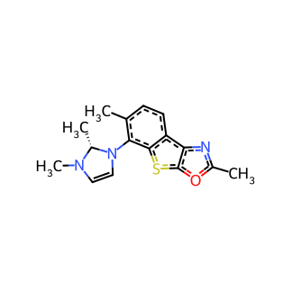 Cc1nc2c(o1)sc1c(N3C=CN(C)[C@@H]3C)c(C)ccc12